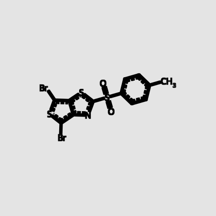 Cc1ccc(S(=O)(=O)c2nc3c(Br)sc(Br)c3s2)cc1